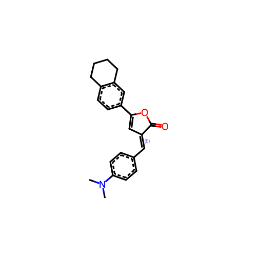 CN(C)c1ccc(/C=C2\C=C(c3ccc4c(c3)CCCC4)OC2=O)cc1